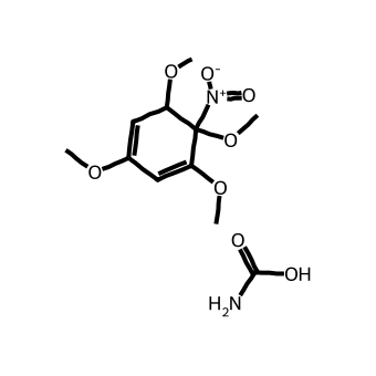 COC1=CC(OC)C(OC)([N+](=O)[O-])C(OC)=C1.NC(=O)O